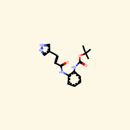 CC(C)(C)OC(=O)Nc1ccccc1NC(=O)/C=C/c1cn[nH]c1